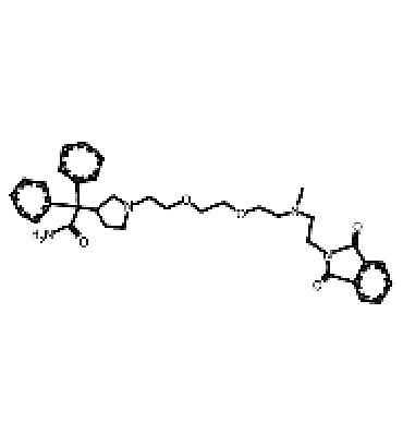 CN(CCOCCOCCN1CCC(C(C(N)=O)(c2ccccc2)c2ccccc2)C1)CCN1C(=O)c2ccccc2C1=O